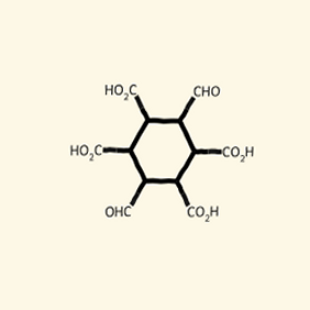 O=CC1C(C(=O)O)C(C(=O)O)C(C=O)C(C(=O)O)C1C(=O)O